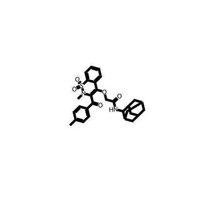 Cc1ccc(C(=O)C2=C(OCC(=O)NC3C4CC5CC(C4)CC3C5)c3ccccc3S(=O)(=O)N2C)cc1